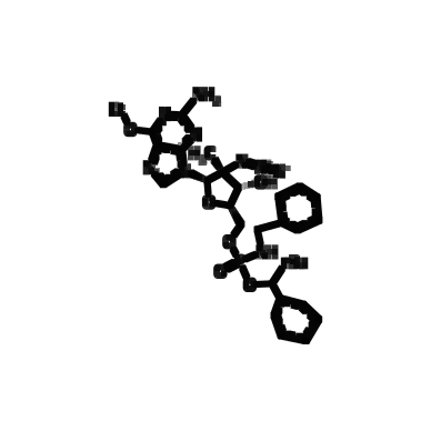 CCCCC(OP(=O)(NCc1ccccc1)OC[C@H]1O[C@@H](n2cnc3c(OCC)nc(N)nc32)[C@](C)(N=[N+]=[N-])[C@@H]1O)c1ccccc1